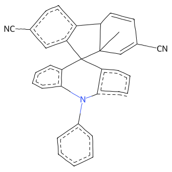 CC12C=C(C#N)C=CC1c1ccc(C#N)cc1C21c2ccccc2N(c2ccccc2)c2ccccc21